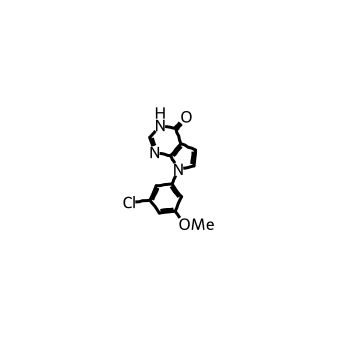 COc1cc(Cl)cc(-n2ccc3c(=O)[nH]cnc32)c1